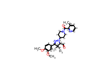 COc1ccc(C2=NN(C3CCN(C(=O)c4ncccc4C)CC3)C(C=O)C2(C)C)cc1OC